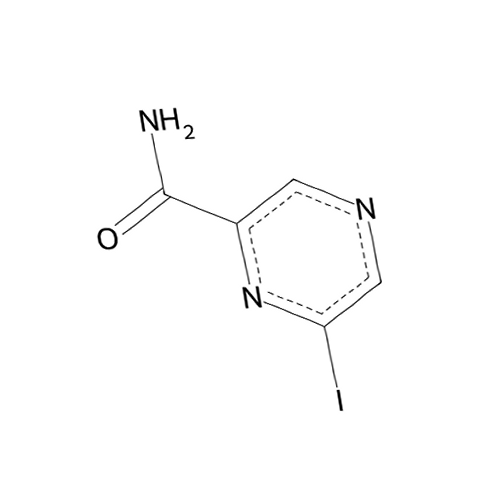 NC(=O)c1cncc(I)n1